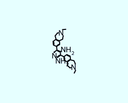 CCN1CCc2ccc(-c3cnc(N)c(-c4ccc5c(c4)CCN(CC)CC5)c3N)cc2CC1